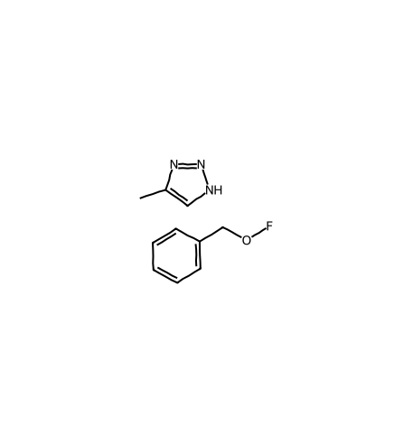 Cc1c[nH]nn1.FOCc1ccccc1